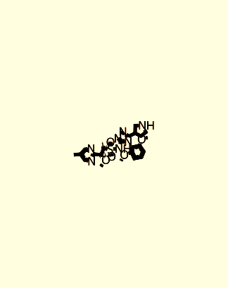 COc1cccc(OC)c1-n1c(NS(=O)(=O)[C@@H](C)[C@H](OC)c2ncc(C)cn2)nnc1C1CCNC1